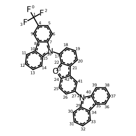 FC(F)(F)c1ccc2c(c1)c1ccccc1n2-c1cccc2c1oc1ccc(-n3c4ccccc4c4ccccc43)cc12